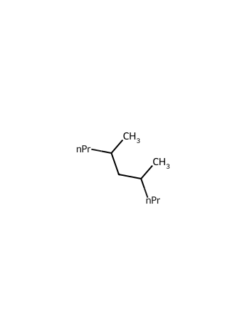 [CH2]CCC(C)CC(C)CCC